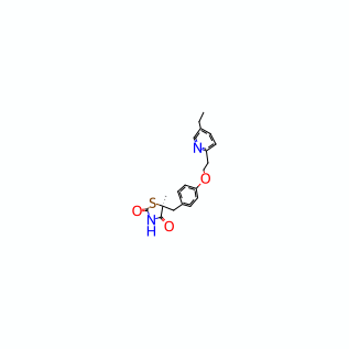 CCc1ccc(CCOc2ccc(C[C@]3(C)SC(=O)NC3=O)cc2)nc1